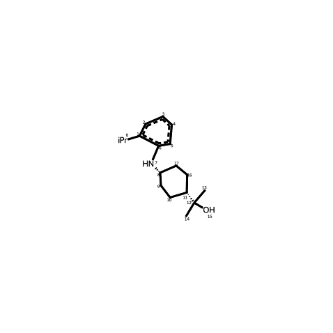 CC(C)c1ccccc1N[C@H]1CC[C@@H](C(C)(C)O)CC1